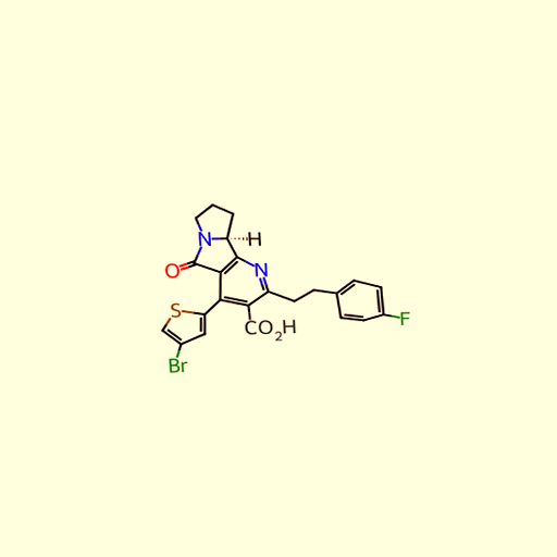 O=C(O)c1c(CCc2ccc(F)cc2)nc2c(c1-c1cc(Br)cs1)C(=O)N1CCC[C@@H]21